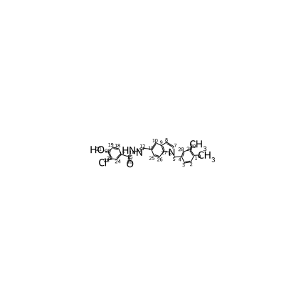 Cc1ccc(Cn2ccc3cc(/C=N/NC(=O)c4ccc(O)c(Cl)c4)ccc32)cc1C